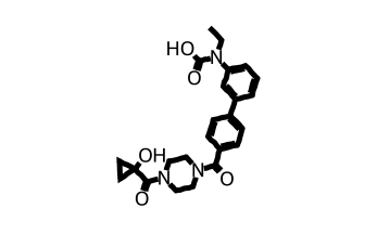 CCN(C(=O)O)c1cccc(-c2ccc(C(=O)N3CCN(C(=O)C4(O)CC4)CC3)cc2)c1